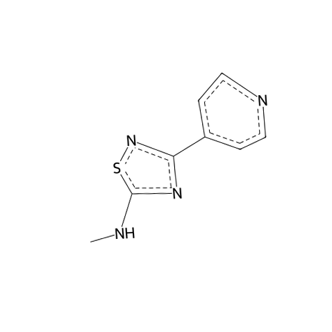 CNc1nc(-c2ccncc2)ns1